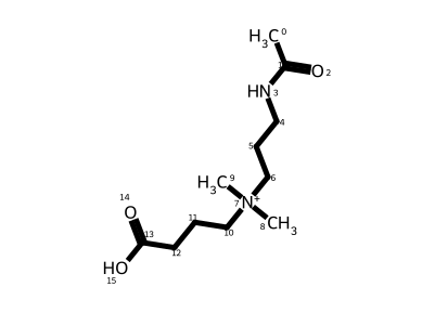 CC(=O)NCCC[N+](C)(C)CCCC(=O)O